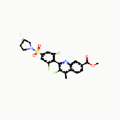 COC(=O)c1ccc2c(C)c(F)c(-c3c(F)cc(S(=O)(=O)N4CC[C@H](F)C4)cc3F)nc2c1